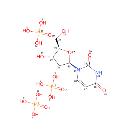 O=P(O)(O)O.O=P(O)(O)O.O=P(O)(O)O.O=c1ccn([C@H]2C[C@H](O)[C@@H](CO)O2)c(=O)[nH]1